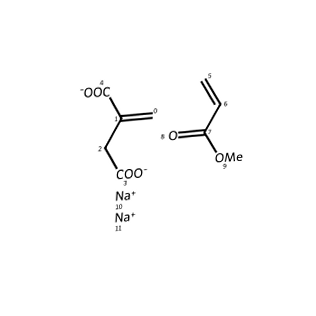 C=C(CC(=O)[O-])C(=O)[O-].C=CC(=O)OC.[Na+].[Na+]